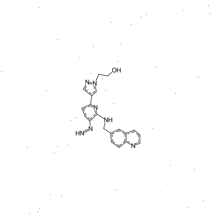 N=Nc1ccc(-c2cnn(CCO)c2)nc1NCc1ccc2ncccc2c1